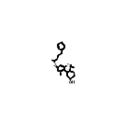 Cc1cc(OC(C)CCCc2ccccc2)cc2c1C1CC(O)CCC1C(C)(C)O2